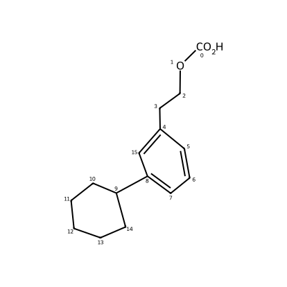 O=C(O)OCCc1cccc(C2CCCCC2)c1